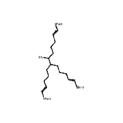 CCCCCC=CCCCC(O)C(CCCC=CCCCCC)CCCC=CCCCCC